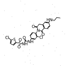 CCCNc1ccc2c(c1)CC(=O)N(c1ccc(NC(=O)NS(=O)(=O)c3ccc(Cl)s3)cc1Cl)C2=O